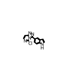 Clc1nccc2nnc(-c3ccc4[nH]ccc4c3)n12